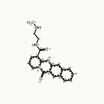 CNCCNC(=O)c1cccn2c(=O)c3cc4ccccc4cc3nc12